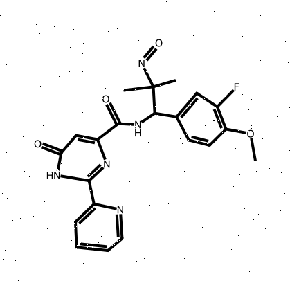 COc1ccc(C(NC(=O)c2cc(=O)[nH]c(-c3ccccn3)n2)C(C)(C)N=O)cc1F